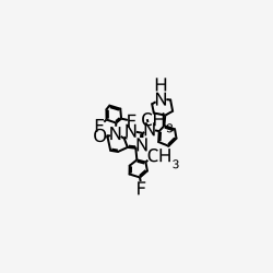 Cc1cc(F)ccc1-c1nc(N(C)c2ccccc2C2CCNCC2)nc2c1ccc(=O)n2-c1c(F)cccc1F